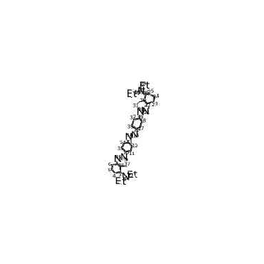 CCN(CC)c1cccc(N=Nc2ccc(N=Nc3ccc(N=Nc4cccc(N(CC)CC)c4C)cc3)cc2)c1C